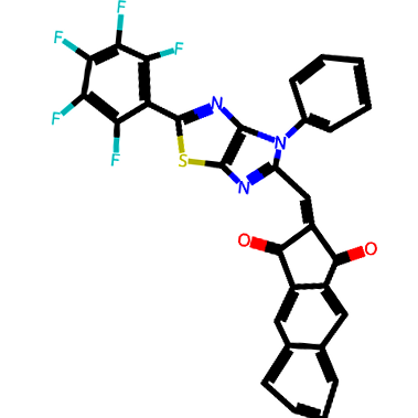 O=C1C(=Cc2nc3sc(-c4c(F)c(F)c(F)c(F)c4F)nc3n2-c2ccccc2)C(=O)c2cc3ccccc3cc21